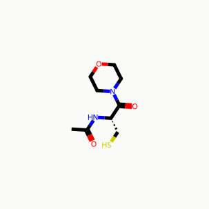 CC(=O)N[C@@H](CS)C(=O)N1CCOCC1